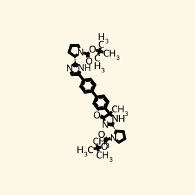 CC(C)(C)OC(=O)N1CCC[C@H]1C1=NC(=O)C(C)(c2ccc(-c3ccc(-c4cnc([C@@H]5CCCN5C(=O)OC(C)(C)C)[nH]4)cc3)cc2)N1